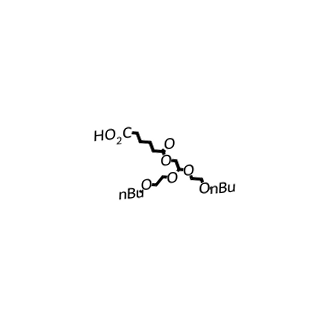 CCCCOCCOC(COC(=O)CCCCC(=O)O)OCCOCCCC